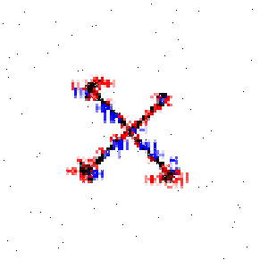 CC(=O)N[C@H]1[C@H](OCCCCC(=O)NCCCNC(=O)CCOCC(COCCC(=O)NCCCNC(=O)CCCCO[C@@H]2O[C@H](CO)[C@H](O)[C@H](O)[C@H]2NC(C)=O)(COCCC(=O)NCCCNC(=O)CCCCO[C@@H]2O[C@H](CO)[C@H](O)[C@H](O)[C@H]2NC(C)=O)NC(=O)CCOCCOCCOCCN2C(=O)C=CC2=O)O[C@H](CO)[C@H](O)[C@@H]1O